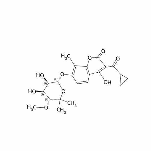 CO[C@@H]1[C@@H](O)[C@@H](O)[C@H](Oc2ccc3c(O)c(C(=O)C4CC4)c(=O)oc3c2C)OC1(C)C